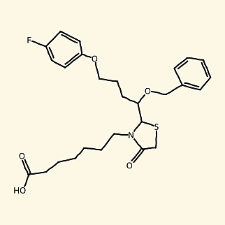 O=C(O)CCCCCCN1C(=O)CSC1C(CCCOc1ccc(F)cc1)OCc1ccccc1